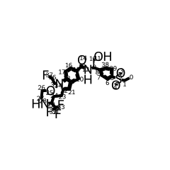 CCS(=O)(=O)c1ccc([C@H](CO)NC(=O)c2ccc3c(c2)cc(CC2OCCNC2C(F)(F)F)n3CCF)cc1